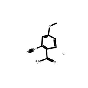 COc1ccc(C(N)=O)c([N+]#N)c1.[Cl-]